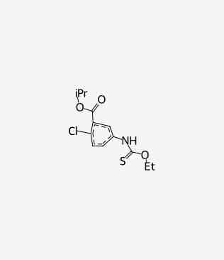 CCOC(=S)Nc1ccc(Cl)c(C(=O)OC(C)C)c1